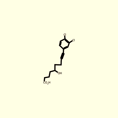 O=C(O)CCCC(O)CCC#Cc1ccc(Cl)c(Cl)c1